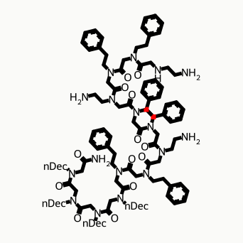 CCCCCCCCCCN(CC(N)=O)C(=O)CN(CCCCCCCCCC)C(=O)CN(CCCCCCCCCC)C(=O)CN(CCCCCCCCCC)C(=O)CN(CCc1ccccc1)C(=O)CN(CCc1ccccc1)C(=O)CN(CCN)C(=O)CN(CCc1ccccc1)C(=O)CN(CCc1ccccc1)C(=O)CN(CCN)C(=O)CN(CCc1ccccc1)C(=O)CN(CCc1ccccc1)C(=O)CNCCN